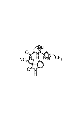 CC(C)(C)C[C@H](NC(=O)c1cn(CC(F)(F)F)nn1)C(=O)N1C[C@]2(C[C@H]1C#N)C(=O)Nc1ccccc12